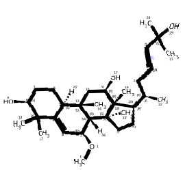 CO[C@H]1C=C2[C@@H](CC[C@H](O)C2(C)C)[C@]2(C)C[C@@H](O)[C@]3(C)[C@@H]([C@H](C)C/C=C/C(C)(C)O)CC[C@@]3(C)[C@H]12